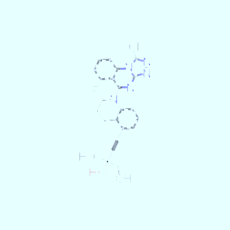 CCC(C)(O)C#Cc1cccc2c1CCCN2c1nc2nnc(C)n2c2cccc(F)c12